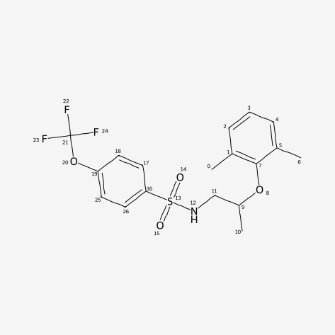 Cc1cccc(C)c1OC(C)CNS(=O)(=O)c1ccc(OC(F)(F)F)cc1